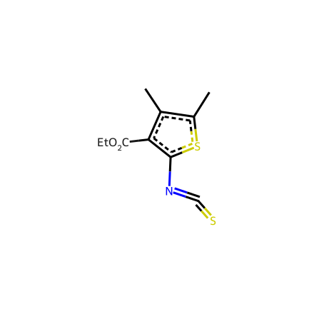 CCOC(=O)c1c(N=C=S)sc(C)c1C